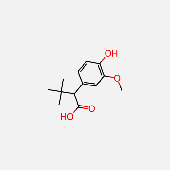 COc1cc(C(C(=O)O)C(C)(C)C)ccc1O